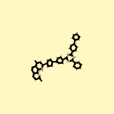 Cc1ccc2ccc3c(C)cc(-c4ccc(-c5ccc(-c6nc(-c7ccccc7)nc(-c7ccc(-c8ccccc8)cc7)n6)cc5)cc4)nc3c2n1